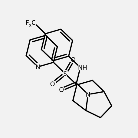 O=C(Nc1ccc(C(F)(F)F)cc1)N1C2CCC1CC(S(=O)(=O)c1ccccn1)C2